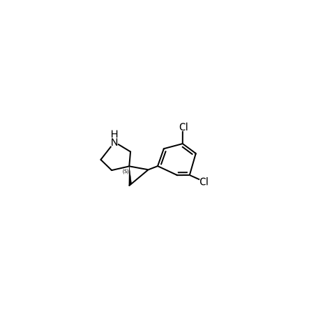 Clc1cc(Cl)cc(C2C[C@]23CCNC3)c1